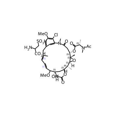 COc1cc2cc(c1Cl)N(C)C(=O)C[C@H](OC(=O)[C@H](C)N(C)C(C)=O)[C@]1(C)O[C@H]1[C@H](C)[C@@H]1C[C@@](O)(NC(=O)O1)C(OC)/C=C/C=C(\C)C2.NC(CS(=O)(=O)O)C(=O)O